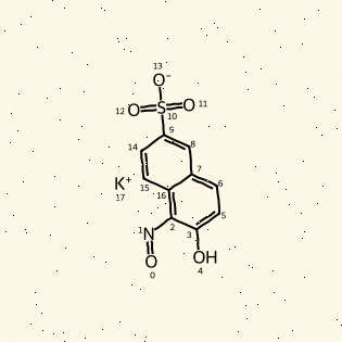 O=Nc1c(O)ccc2cc(S(=O)(=O)[O-])ccc12.[K+]